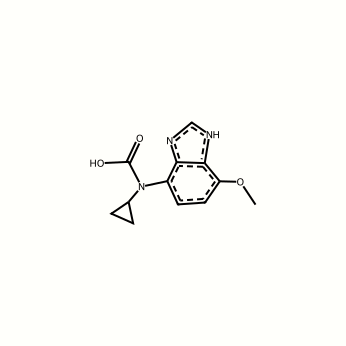 COc1ccc(N(C(=O)O)C2CC2)c2nc[nH]c12